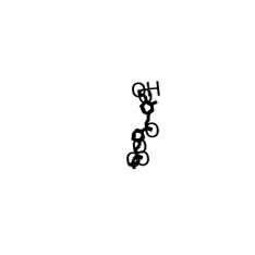 Cc1cc(CCC(=O)c2cccc(OCC(=O)OC(C)(C)C)c2)ccc1OCO